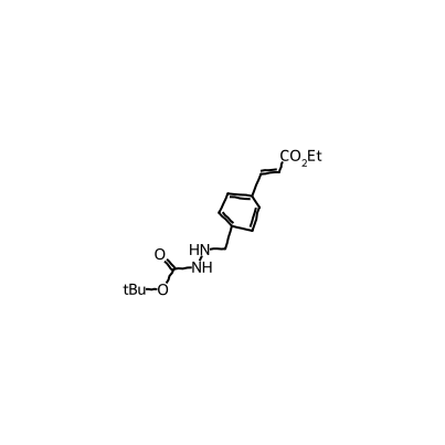 CCOC(=O)/C=C/c1ccc(CNNC(=O)OC(C)(C)C)cc1